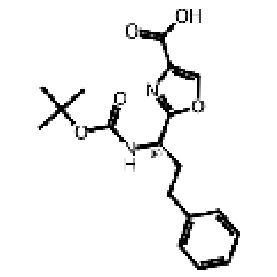 CC(C)(C)OC(=O)N[C@H](CCc1ccccc1)c1nc(C(=O)O)co1